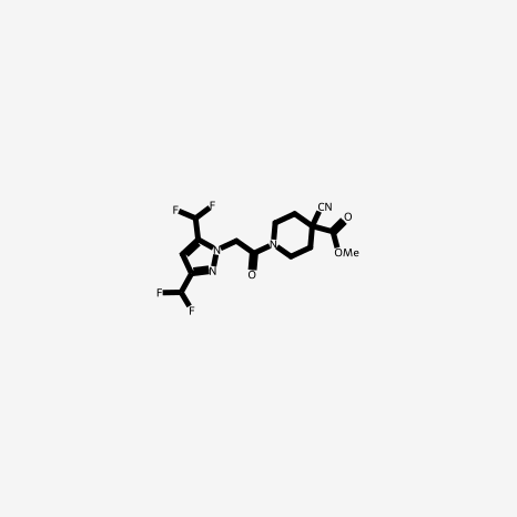 COC(=O)C1(C#N)CCN(C(=O)Cn2nc(C(F)F)cc2C(F)F)CC1